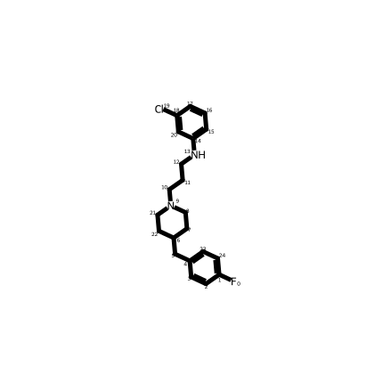 Fc1ccc(CC2CCN(CCCNc3cccc(Cl)c3)CC2)cc1